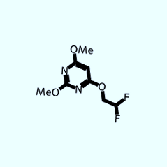 COc1cc(OCC(F)F)nc(OC)n1